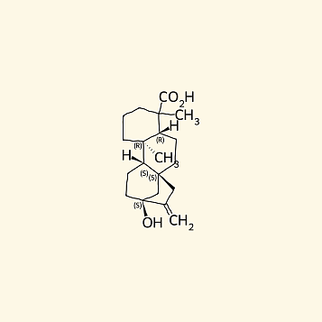 C=C1C[C@]23CC[C@H]4C(C)(C(=O)O)CCC[C@]4(C)[C@H]2CC[C@]1(O)C3